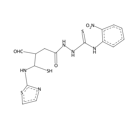 O=CC(CC(=O)NNC(=S)Nc1ccccc1[N+](=O)[O-])C(S)Nc1nccs1